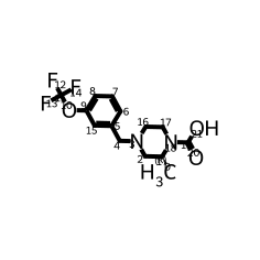 C[C@@H]1CN(Cc2cccc(OC(F)(F)F)c2)CCN1C(=O)O